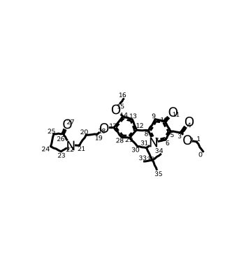 CCOC(=O)c1cn2c(cc1=O)-c1cc(OC)c(OCCCN3CCCC3=O)cc1CC2C(C)(C)C